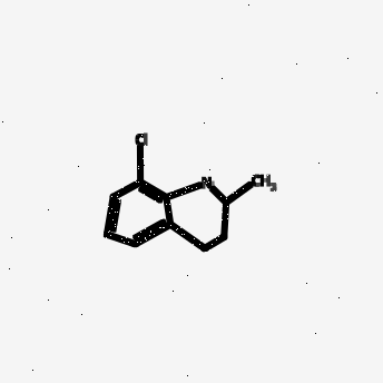 CC1CCc2cccc(Cl)c2[N]1